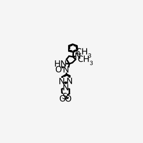 CN(C)C1(c2ccccc2)CCC2(CC1)CN(c1cnc(N3CCS(=O)(=O)CC3)nc1)C(=O)N2